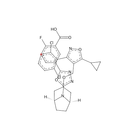 O=C(O)c1cc(-c2nnc(N3[C@@H]4CC[C@H]3CC(OCc3c(-c5c(Cl)cccc5Cl)noc3C3CC3)C4)o2)ccc1F